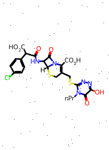 CCCn1c(SCC2=C(C(=O)O)N3C(=O)C(NC(=O)C(C(=O)O)c4ccc(Cl)cc4)[C@H]3SC2)nnc(O)c1=O